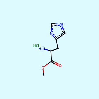 COC(=O)C(N)Cc1c[nH]cn1.Cl